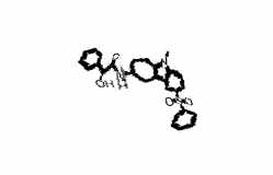 Cn1c2c(c3cc(S(=O)(=O)c4ccccc4)ccc31)C[C@@H](NC(=O)[C@@H](O)c1ccccc1)CC2